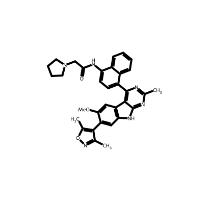 COc1cc2c(cc1-c1c(C)noc1C)[nH]c1nc(C)nc(-c3ccc(NC(=O)CN4CCCC4)c4ccccc34)c12